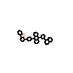 c1cc(-c2cccc3ccccc23)cc(-c2c3ccccc3c(-c3ccc(-c4cccc5c4oc4ccccc45)cc3)c3ccccc23)c1